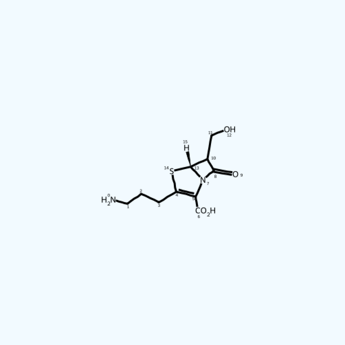 NCCCC1=C(C(=O)O)N2C(=O)C(CO)[C@H]2S1